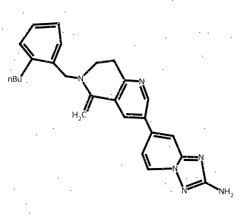 C=C1c2cc(-c3ccn4nc(N)nc4c3)cnc2CCN1Cc1ccccc1CCCC